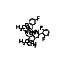 CCN(C[C@@]12CC[C@@H](c3cc(-c4c(F)cccc4F)nnc31)C2(C)C)S(=O)(=O)Cc1cc(F)ccc1F